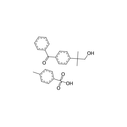 CC(C)(CO)c1ccc(C(=O)c2ccccc2)cc1.Cc1ccc(S(=O)(=O)O)cc1